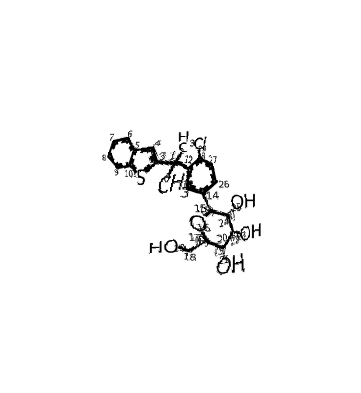 CC(C)(c1cc2ccccc2s1)c1cc([C@@H]2O[C@H](CO)[C@@H](O)[C@H](O)[C@H]2O)ccc1Cl